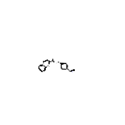 CCOC(=O)/C=C/c1ccc(CNC(=O)c2ccc3ccccc3n2)cc1